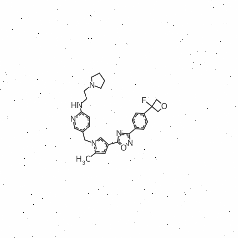 Cc1cc(-c2nc(-c3ccc(C4(F)COC4)cc3)no2)cn1Cc1ccc(NCCN2CCCC2)nc1